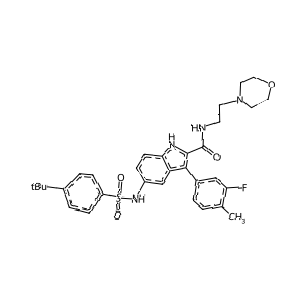 Cc1ccc(-c2c(C(=O)NCCN3CCOCC3)[nH]c3ccc(NS(=O)(=O)c4ccc(C(C)(C)C)cc4)cc23)cc1F